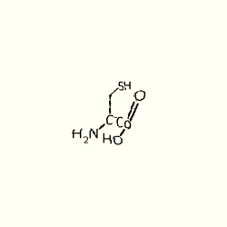 N[CH-]CS.[O]=[Co][OH]